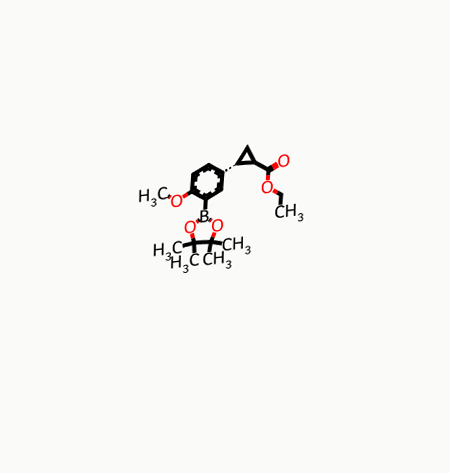 CCOC(=O)C1C[C@H]1c1ccc(OC)c(B2OC(C)(C)C(C)(C)O2)c1